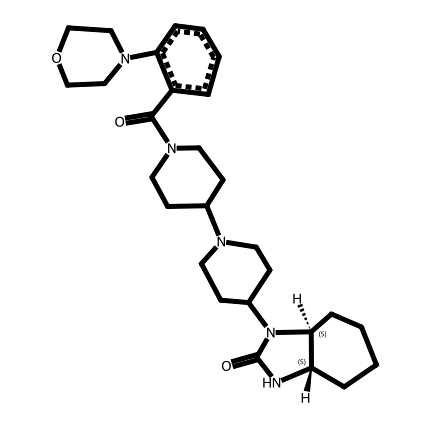 O=C(c1ccccc1N1CCOCC1)N1CCC(N2CCC(N3C(=O)N[C@H]4CCCC[C@@H]43)CC2)CC1